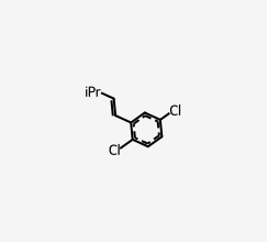 CC(C)/C=C/c1cc(Cl)ccc1Cl